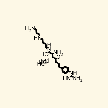 Cl.Cl.Cl.N=C(N)Nc1ccc(CCCC(=O)CC(N)C(O)NCCCCNCCCN)cc1